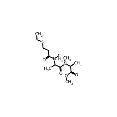 COC(=O)C(C)N(C)C(=O)C(C)N(C)C(=O)CCSSC